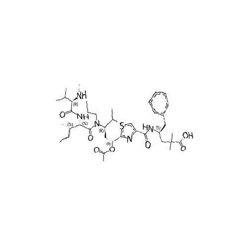 CCCN(C(=O)[C@@H](NC(=O)[C@H](NC)C(C)C)[C@@H](C)CC)[C@H](C[C@@H](OC(C)=O)c1nc(C(=O)N[C@@H](Cc2ccccc2)CC(C)(C)C(=O)O)cs1)C(C)C